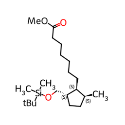 COC(=O)CCCCCC[C@@H]1[C@@H](CO[Si](C)(C)C(C)(C)C)CC[C@@H]1C